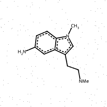 CNCCc1cn(C)c2ccc(N)cc12